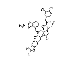 C#CCN(C(=O)NCc1ccc(Cl)c(Cl)c1)N1CC(=O)N2[C@@H](Cc3ccc4[nH]c(=O)oc4c3)C(=O)N(Cc3cccc4sc(N)nc34)C[C@@H]21